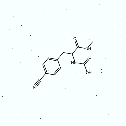 CNC(=O)C(Cc1ccc(C#N)cc1)NC(=O)O